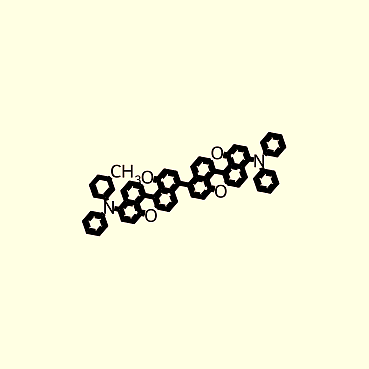 CC1C=C(N(c2ccccc2)c2ccc3oc4ccc5c(-c6ccc7oc8ccc9c(N(c%10ccccc%10)c%10ccccc%10)ccc%10oc%11ccc6c7c%11-c8c%109)ccc6oc7ccc2c3c7-c4c65)C=CC1